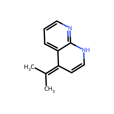 CC(C)=C1C=CNc2ncccc21